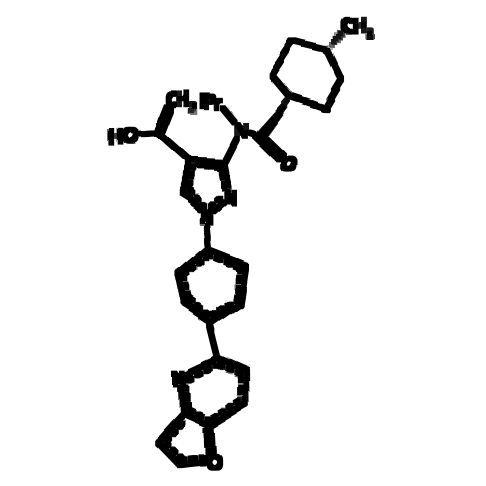 C=C(O)c1cn(-c2ccc(-c3ccc4occc4n3)cc2)nc1N(C(=O)[C@H]1CC[C@H](C)CC1)C(C)C